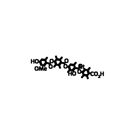 CCc1c(C)c(C(=O)O)c(C)c(C)c1OC(=O)c1c(C)cc(OC(=O)c2c(C)c(C)c(OC(=O)c3c(C)cc(O)cc3OC)c(C)c2C)c(C)c1O